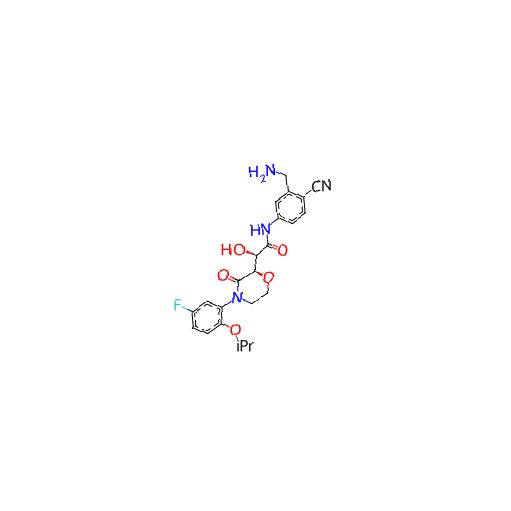 CC(C)Oc1ccc(F)cc1N1CCO[C@H]([C@@H](O)C(=O)Nc2ccc(C#N)c(CN)c2)C1=O